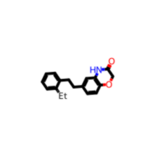 CCc1ccccc1CCc1ccc2c(c1)NC(=O)CO2